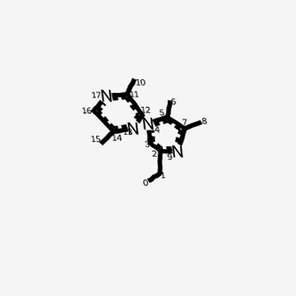 CCc1cnc(C)c(C)n1.Cc1cnc(C)cn1